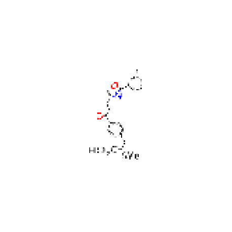 CSC(=Cc1ccc(C(=O)CCc2coc(-c3cccc(C)c3)n2)cc1)C(=O)O